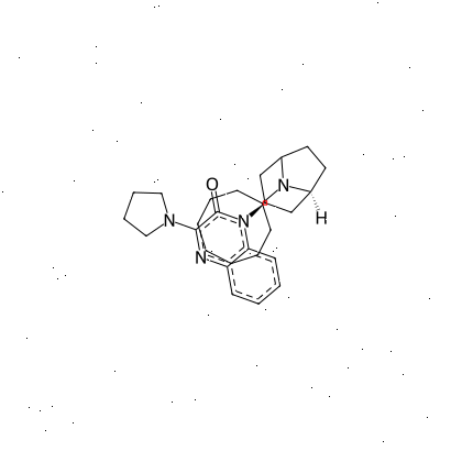 O=c1c(N2CCCC2)nc2ccccc2n1[C@H]1CC2CC[C@@H](C1)N2C1CCCCCCC1